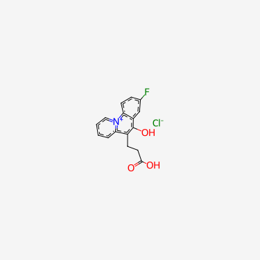 O=C(O)CCc1c(O)c2cc(F)ccc2[n+]2ccccc12.[Cl-]